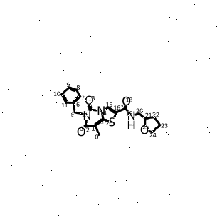 Cc1c(=O)n(Cc2ccccc2)c(=O)n2cc(C(=O)NCC3CCCO3)sc12